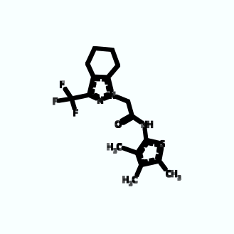 Cc1sc(NC(=O)Cn2nc(C(F)(F)F)c3c2CCCC3)c(C)c1C